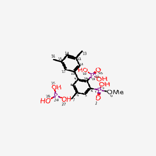 COP(=O)(O)c1cc(C)cc(-c2cc(C)cc(C)c2)c1P(=O)(O)O.OP(O)O